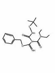 CCN(CC)C(=O)N(C(=N)OCc1ccccc1)C(=O)NSC(C)(C)C